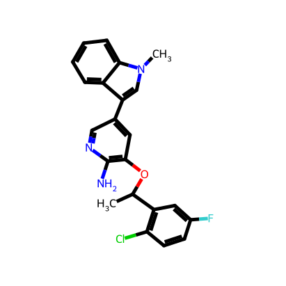 CC(Oc1cc(-c2cn(C)c3ccccc23)cnc1N)c1cc(F)ccc1Cl